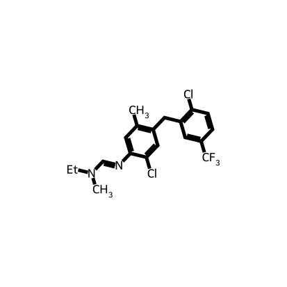 CCN(C)C=Nc1cc(C)c(Cc2cc(C(F)(F)F)ccc2Cl)cc1Cl